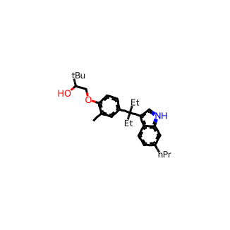 CCCc1ccc2c(C(CC)(CC)c3ccc(OCC(O)C(C)(C)C)c(C)c3)c[nH]c2c1